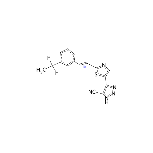 CC(F)(F)c1cccc(/C=C/c2ncc(-c3nn[nH]c3C#N)s2)c1